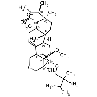 CO[C@@H]1C[C@@]23COC[C@@](C)([C@@H]2CC[C@H]2C3=CC[C@@]3(C)[C@H](C(=O)O)[C@@](C)([C@H](C)C(C)C)CC[C@]23C)[C@H]1OCC(C)(N)C(C)C